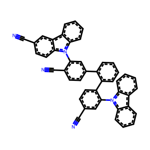 N#Cc1ccc(-c2ccccc2-c2ccc(C#N)c(-n3c4ccccc4c4cc(C#N)ccc43)c2)c(-n2c3ccccc3c3ccccc32)c1